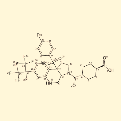 O=C(O)[C@H]1CC[C@H](C(=O)N2CCC3(S(=O)(=O)c4ccc(F)cc4)c4ccc(C(F)(C(F)(F)F)C(F)(F)F)cc4NCC23)CC1